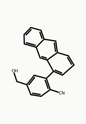 N#Cc1ccc(CO)cc1-c1cccc2cc3ccccc3cc12